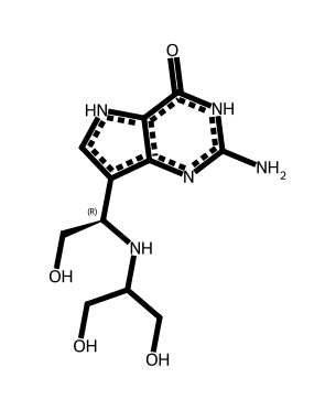 Nc1nc2c([C@H](CO)NC(CO)CO)c[nH]c2c(=O)[nH]1